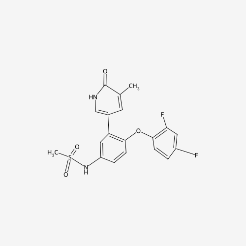 Cc1cc(-c2cc(NS(C)(=O)=O)ccc2Oc2ccc(F)cc2F)c[nH]c1=O